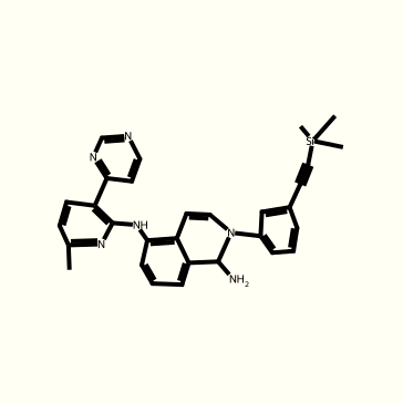 Cc1ccc(-c2ccncn2)c(Nc2cccc3c2C=CN(c2cccc(C#C[Si](C)(C)C)c2)C3N)n1